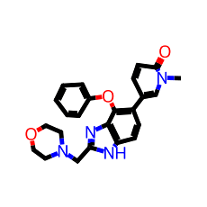 Cn1cc(-c2ccc3[nH]c(CN4CCOCC4)nc3c2Oc2ccccc2)ccc1=O